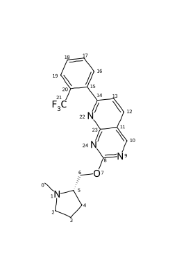 CN1CCC[C@H]1COc1ncc2ccc(-c3ccccc3C(F)(F)F)nc2n1